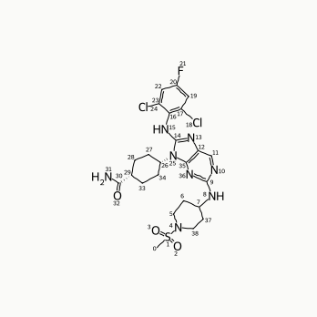 CS(=O)(=O)N1CCC(Nc2ncc3nc(Nc4c(Cl)cc(F)cc4Cl)n([C@H]4CC[C@@H](C(N)=O)CC4)c3n2)CC1